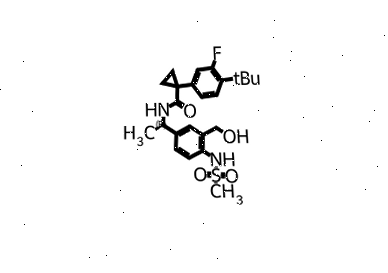 C[C@@H](NC(=O)C1(c2ccc(C(C)(C)C)c(F)c2)CC1)c1ccc(NS(C)(=O)=O)c(CO)c1